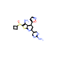 Nc1ncc(-c2cc(-c3ccno3)c3c(N)c([S+]([O-])C4CCC4)sc3n2)cn1